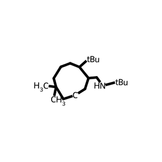 CC1(C)CCCC(CNC(C)(C)C)C(C(C)(C)C)CCC1